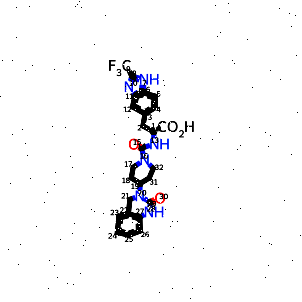 O=C(O)[C@@H](Cc1ccc2[nH]c(C(F)(F)F)nc2c1)NC(=O)N1CCC(N2Cc3ccccc3NC2=O)CC1